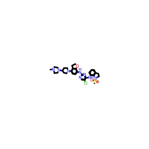 CN1CCN(C2CCN(c3ccc(Nc4ncc(Cl)c(Nc5cccc6c5N(S(C)(=O)=O)CC6)n4)c4c3CCO4)CC2)CC1